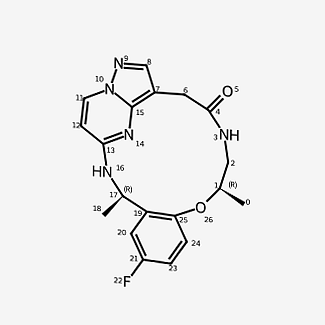 C[C@@H]1CNC(=O)Cc2cnn3ccc(nc23)N[C@H](C)c2cc(F)ccc2O1